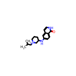 CC(C)CN1CCCC(Nc2ccc3c(=O)[nH]ccc3c2)C1